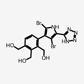 OCc1ccc(-c2c(Br)[nH]c(-c3nnn[nH]3)c2Br)c(CO)c1CO